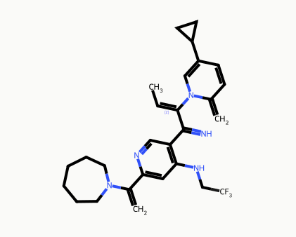 C=C(c1cc(NCC(F)(F)F)c(C(=N)/C(=C/C)N2C=C(C3CC3)C=CC2=C)cn1)N1CCCCCC1